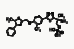 C[C@](N)(COP(=O)(O)O)c1nnc(-c2ccc(OCC3=CC(c4ccccc4)C(C(F)(F)F)S3)c(C(F)(F)F)c2)s1